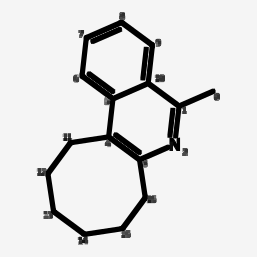 Cc1nc2c(c3ccccc13)CCCCCC2